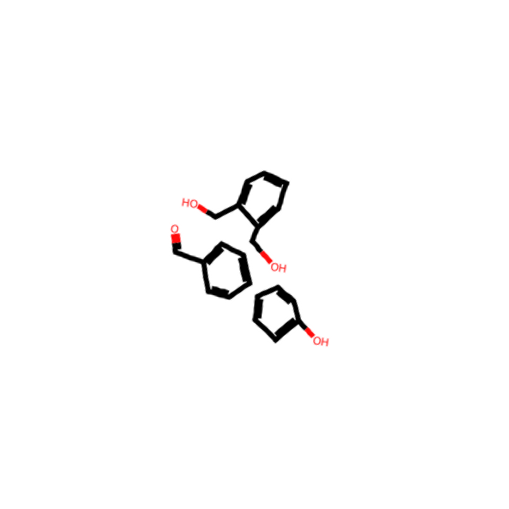 O=Cc1ccccc1.OCc1ccccc1CO.Oc1ccccc1